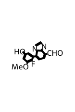 COc1cc(O)cc(-c2ccc(C=O)c3nccnc23)c1F